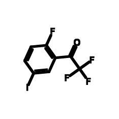 O=C(c1cc(I)ccc1F)C(F)(F)F